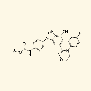 COC(=O)Nc1ccc(-n2cnc3c(C)cc(C4=NOCCN4c4ccc(F)cc4)cc32)cn1